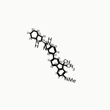 CNc1ccc2c(c1)C(C)(C)c1cc(-c3ccc4[nH]c([C@@H]5CC6CCCCC6N5)nc4c3)ccc1-2